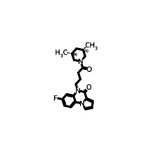 C[C@@H]1C[C@H](C)CN(C(=O)CCCn2c(=O)c3cccn3c3ccc(F)cc32)C1